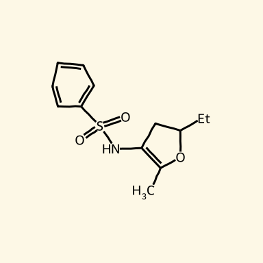 CCC1CC(NS(=O)(=O)c2ccccc2)=C(C)O1